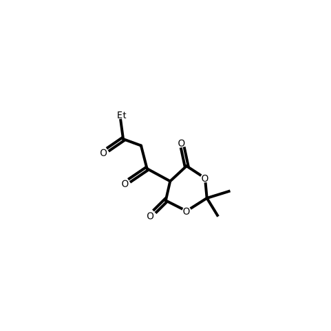 CCC(=O)CC(=O)C1C(=O)OC(C)(C)OC1=O